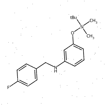 CC(C)(C)[Si](C)(C)Oc1cccc(NCc2ccc(F)cc2)c1